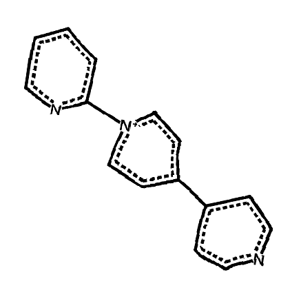 c1ccc(-[n+]2ccc(-c3ccncc3)cc2)nc1